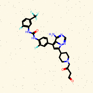 Nc1ncnn2c(C3CCN(CC(=O)CC=O)CC3)cc(-c3ccc(NC(=O)Nc4cc(C(F)(F)F)ccc4F)c(F)c3)c12